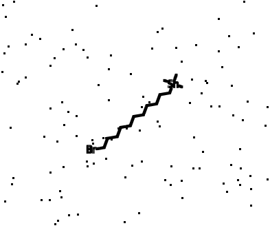 [CH3][Sn]([CH3])([CH3])[CH2]CCCCCCCCCCBr